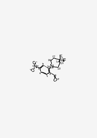 O=Cc1ccc([N+](=O)[O-])cc1N1CCC(F)(F)CC1